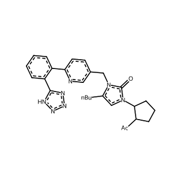 CCCCc1cn(C2CCCC2C(C)=O)c(=O)n1Cc1ccc(-c2ccccc2-c2nnn[nH]2)nc1